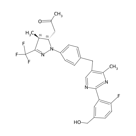 CC(=O)C[C@H]1[C@H](C)C(C(F)(F)F)=NN1c1ccc(Cc2cnc(-c3cc(CO)ccc3F)nc2C)cc1